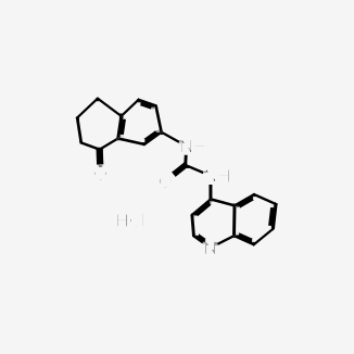 Cl.O=C(Nc1ccc2c(c1)C(=O)CCC2)Nc1ccnc2ccccc12